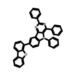 c1ccc(-c2nc(-c3ccccc3)c3c(n2)c2cc(-c4cccc5c4oc4ccccc45)ccc2n3-c2ccccc2)cc1